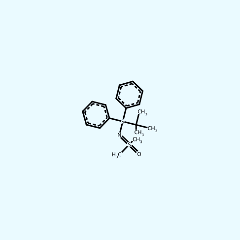 CC(C)(C)S(N=S(C)(C)=O)(c1ccccc1)c1ccccc1